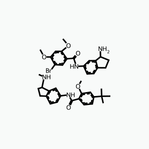 CNC1CCc2ccc(NC(=O)c3ccc(C(C)(C)C)cc3OC)cc21.COc1cc(OC)c(C(=O)Nc2ccc3c(c2)C(N)CC3)cc1Br